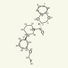 O=C([C@H]1COc2ccccc2O1)N1CCC[C@H](c2cccc(OCF)c2)C1